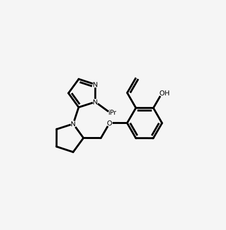 C=Cc1c(O)cccc1OCC1CCCN1c1ccnn1C(C)C